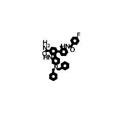 Cc1c(NC(=O)c2ccc(F)cc2)cccc1-c1ccc(C(N)=O)c2[nH]c3cc(N(Cc4ccccc4)Cc4ccccc4)ccc3c12